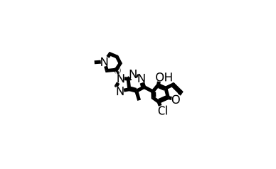 Cc1c(-c2cc(Cl)c3occc3c2O)nnc2c1ncn2[C@@H]1CCCN(C)C1